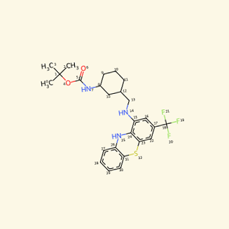 CC(C)(C)OC(=O)NC1CCCC(CNc2cc(C(F)(F)F)cc3c2Nc2ccccc2S3)C1